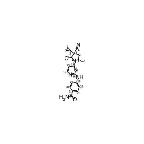 C[C@@H]1C[C@@](C#N)(C2CC2)C(=O)N1c1ccnc(Nc2ccc(C(N)=O)cc2)n1